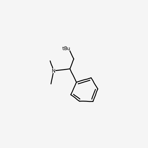 CN(C)C(CC(C)(C)C)c1ccccc1